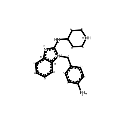 Pc1ccc(Cn2c(NC3CCNCC3)nc3ccccc32)cc1